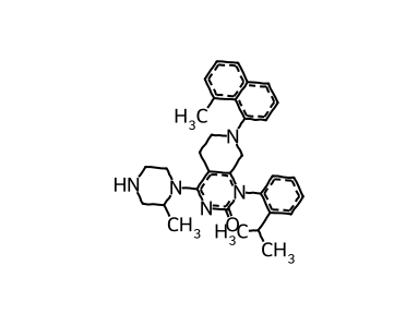 Cc1cccc2cccc(N3CCc4c(N5CCNCC5C)nc(=O)n(-c5ccccc5C(C)C)c4C3)c12